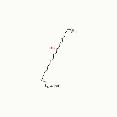 CCCCC/C=C\C/C=C\CCCCCCCCCC(O)CC/C=C/CCC(=O)OCC